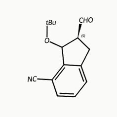 CC(C)(C)OC1c2c(C#N)cccc2C[C@@H]1C=O